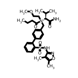 CCCC(=O)[N+](CCOC)(Cc1ccc(-c2ccccc2S(=O)(=O)Nc2noc(C)c2C)cc1)[C@H](C(N)=O)C(C)C